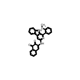 COc1ccccc1-c1nc(NC2=Cc3ccccc3C(=O)C2=O)cc2c1[nH]c1ccccc12